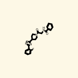 O=C(NCC(=O)N1CCC(c2nc(-c3ccccc3F)no2)CC1)c1ccccc1